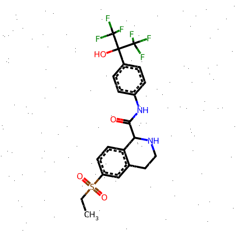 CCS(=O)(=O)c1ccc2c(c1)CCNC2C(=O)Nc1ccc(C(O)(C(F)(F)F)C(F)(F)F)cc1